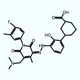 CC1=C(CN(C)C)C(=O)N(c2ccc(F)c(C)c2)C(=O)C1=NNc1cccc(C2CCCC(C(=O)O)C2)c1O